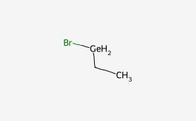 C[CH2][GeH2][Br]